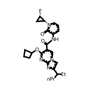 CCCC(CC)c1cn2cc(C(=O)Nc3cccn([C@@H]4C[C@@H]4F)c3=O)c(OC3CCC3)nc2n1